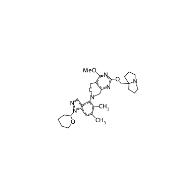 COc1nc(OCC23CCCN2CCC3)nc2c1CCN(c1c(C)c(C)cc3c1cnn3C1CCCCO1)C2